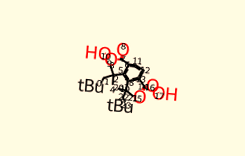 CC(C)(C)CC(C)(C)c1c(C(=O)OO)ccc(C(=O)OO)c1C(C)(C)CC(C)(C)C